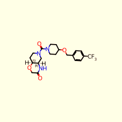 O=C1CO[C@H]2CCN(C(=O)N3CCC(OCc4ccc(C(F)(F)F)cc4)CC3)C[C@H]2N1